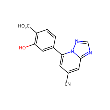 N#Cc1cc(-c2ccc(C(=O)O)c(O)c2)n2ncnc2c1